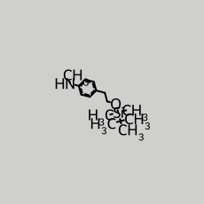 CNc1ccc(CCO[Si](C)(C)C(C)(C)C)cc1